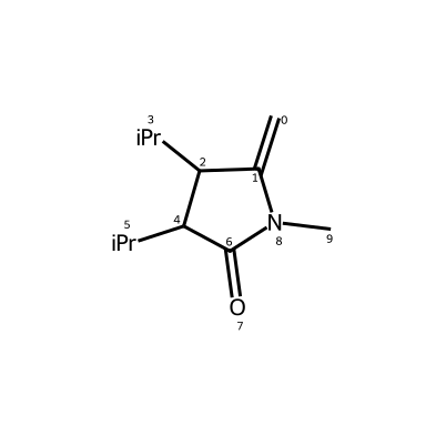 C=C1C(C(C)C)C(C(C)C)C(=O)N1C